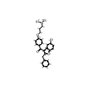 CCc1ccc2oc(Cc3ccccc3)c(C(=O)c3ccc(OCCCN(CC)CC)cc3)c2c1